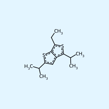 CCc1sc(C(C)C)c2cc(C(C)C)sc12